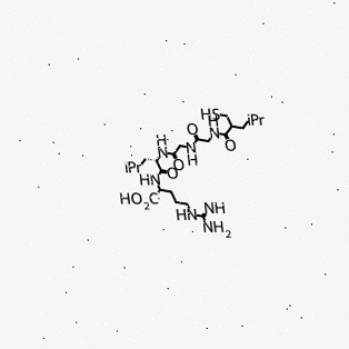 CC(C)CC(CS)C(=O)NCC(=O)NCC(=O)N[C@@H](CC(C)C)C(=O)N[C@@H](CCCNC(=N)N)C(=O)O